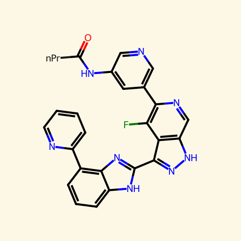 CCCC(=O)Nc1cncc(-c2ncc3[nH]nc(-c4nc5c(-c6ccccn6)cccc5[nH]4)c3c2F)c1